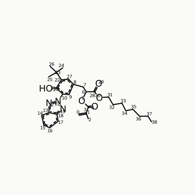 C=C(C)C(=O)OC(Cc1cc(-n2nc3ccccc3n2)c(O)c(C(C)(C)C)c1)C(=O)OCCCCCCCC